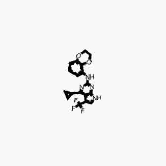 FC(F)(F)c1c[nH]c2nc(Nc3cc[c]c4c3OCCO4)nc(C3CC3)c12